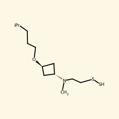 CC(C)CCCO[C@H]1C[C@H](N(C)CCSS)C1